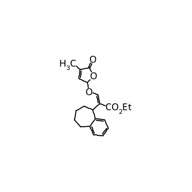 CCOC(=O)/C(=C/OC1C=C(C)C(=O)O1)C1CCCCc2ccccc21